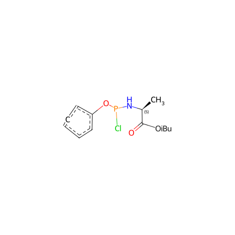 CC(C)COC(=O)[C@H](C)NP(Cl)Oc1ccccc1